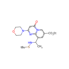 CCOC(=O)c1cc(C(C)NSC(C)(C)C)c2nc(N3CCOCC3)cc(=O)n2c1